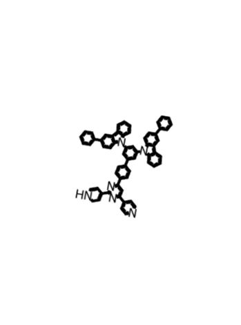 C1=CC(c2nc(-c3ccncc3)cc(-c3ccc(-c4cc(-n5c6ccccc6c6cc(-c7ccccc7)ccc65)cc(-n5c6ccccc6c6cc(-c7ccccc7)ccc65)c4)cc3)n2)=CCN1